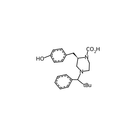 CC(C)(C)C(c1ccccc1)N1CCN(C(=O)O)[C@H](Cc2ccc(O)cc2)C1